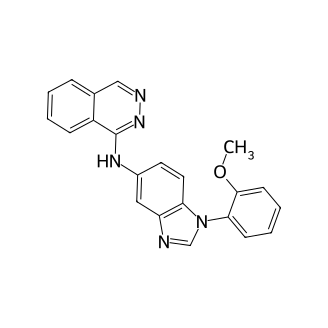 COc1ccccc1-n1cnc2cc(Nc3nncc4ccccc34)ccc21